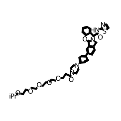 CC(C)OCCOCCOCCOCCOCCC(=O)N1CCN(c2ccc(-c3ccc4c(c3)C(=O)N(C(C(=O)Nc3nccs3)c3ccccc3)C4)cc2)CC1